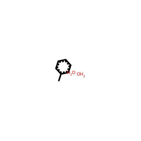 Cc1ccccc1.O.O